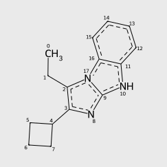 CCc1c(C2CCC2)nc2[nH]c3ccccc3n12